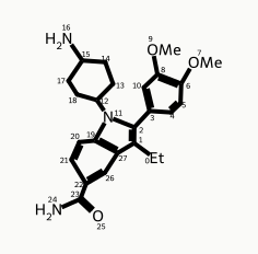 CCc1c(-c2ccc(OC)c(OC)c2)n(C2CCC(N)CC2)c2ccc(C(N)=O)cc12